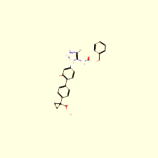 COC(=O)C1(c2ccc(-c3ccc(-n4nnc(C)c4NC(=O)O[C@H](C)c4ccccc4)cc3OC)cc2)CC1